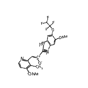 COc1cc2nc([S+]([O-])Cc3nccc(OC)c3C)[nH]c2cc1OC(F)(F)C(F)F